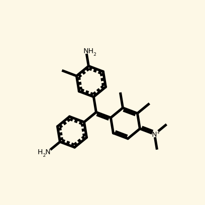 CC1=C(C)C(=[N+](C)C)C=CC1=C(c1ccc(N)cc1)c1ccc(N)c(C)c1